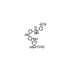 CC(C)(C#N)c1cccc(-c2nnc(-c3cccc(Nc4ccc5c(c4)NC(=O)/C5=C\c4cc(C=O)c[nH]4)c3)[nH]2)c1